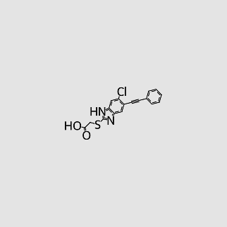 O=C(O)CSc1nc2cc(C#Cc3ccccc3)c(Cl)cc2[nH]1